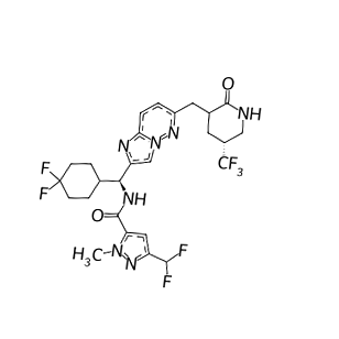 Cn1nc(C(F)F)cc1C(=O)N[C@H](c1cn2nc(CC3C[C@@H](C(F)(F)F)CNC3=O)ccc2n1)C1CCC(F)(F)CC1